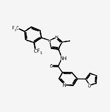 Cc1nn(-c2ccc(C(F)(F)F)cc2C(F)(F)F)cc1NC(=O)c1cncc(-c2ccco2)c1